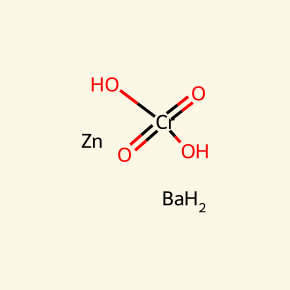 [BaH2].[O]=[Cr](=[O])([OH])[OH].[Zn]